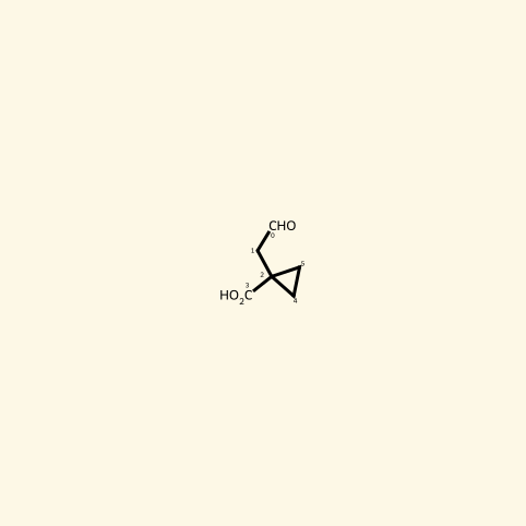 O=CCC1(C(=O)O)CC1